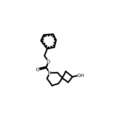 O=C(OCc1ccccc1)N1CCCC2(CC(O)C2)C1